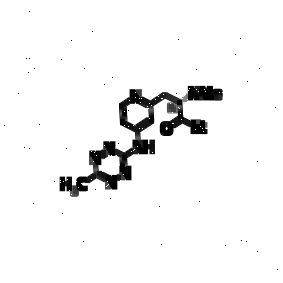 CCC(=O)[C@H](Cc1cc(Nc2nnc(C)nn2)ccn1)NC